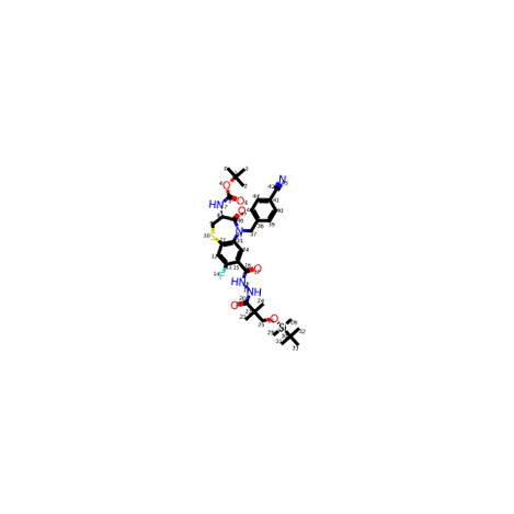 CC(C)(C)OC(=O)N[C@H]1CSc2cc(F)c(C(=O)NNC(=O)C(C)(C)CO[Si](C)(C)C(C)(C)C)cc2N(Cc2ccc(C#N)cc2)C1=O